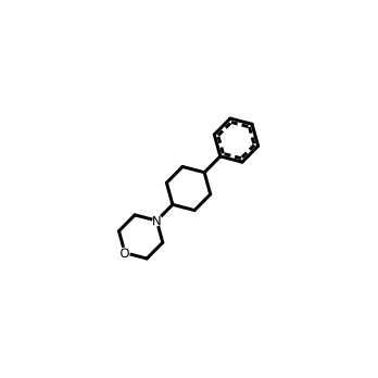 c1ccc(C2CCC(N3CCOCC3)CC2)cc1